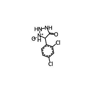 O=C1NN[NH+]([O-])C1c1ccc(Cl)cc1Cl